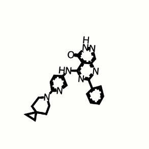 O=c1[nH]ncc2nc(-c3ccccc3)nc(Nc3ccc(N4CCC5(CC4)CC5)nc3)c12